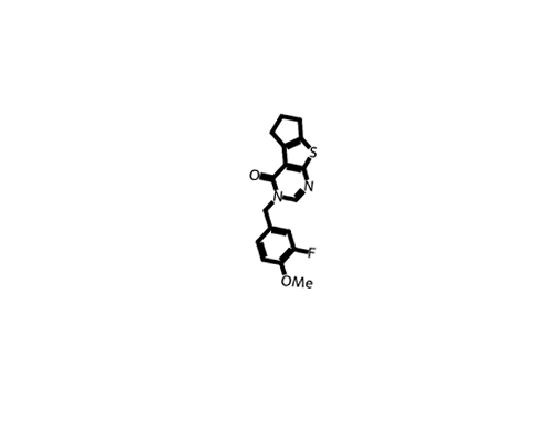 COc1ccc(Cn2cnc3sc4c(c3c2=O)CCC4)cc1F